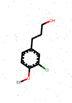 CCOc1ccc(CCCO)cc1Cl